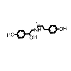 C[C@H](CCc1ccc(O)cc1)NCC(O)c1ccc(O)cc1